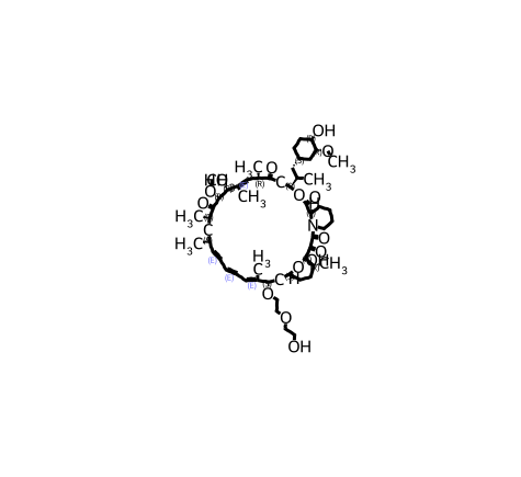 CO[C@@H]1C[C@H](CC(C)[C@@H]2CC(=O)[C@H](C)/C=C(\C)[C@@H](O)[C@@H](OC)C(=O)[C@H](C)C[C@H](C)/C=C/C=C/C=C(\C)[C@@H](OCCOCCO)C[C@@H]3CC[C@@H](C)[C@@](O)(O3)C(=O)C(=O)N3CCCC[C@H]3C(=O)O2)CC[C@H]1O